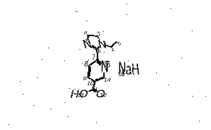 CCN1CCN=C1c1ccc(C(=O)O)cn1.[NaH]